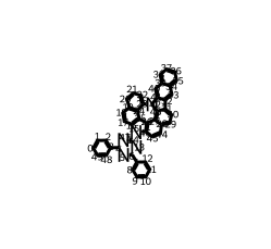 c1ccc(-c2nc(-c3ccccc3)nc(-n3c4ccc5cccc6c5c4c4c5c(ccc7c8cc9ccccc9cc8n6c75)ccc43)n2)cc1